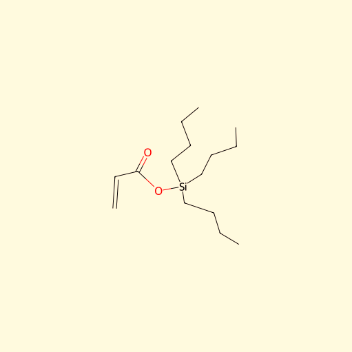 C=CC(=O)O[Si](CCCC)(CCCC)CCCC